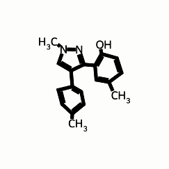 Cc1ccc(-c2cn(C)nc2-c2cc(C)ccc2O)cc1